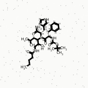 CCCCC(=O)NCC(O)C(CC(C)C)N(C(=O)[C@H](Cc1ccccc1)NC(=O)OC(C)(C)C)[C@@H](Cc1c[nH]cn1)C(N)=O